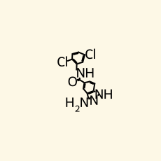 Nc1n[nH]c2ccc(C(=O)NCc3cc(Cl)ccc3Cl)cc12